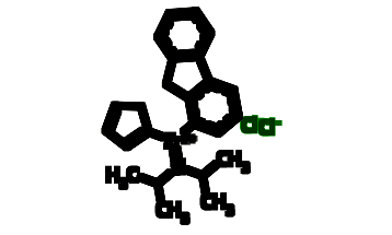 CC(C)[Si](C(C)C)=[Zr+2]([C]1=CC=CC1)[c]1cccc2c1Cc1ccccc1-2.[Cl-].[Cl-]